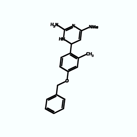 CNC1=CC(c2ccc(OCc3ccccc3)cc2C)NC(N)=N1